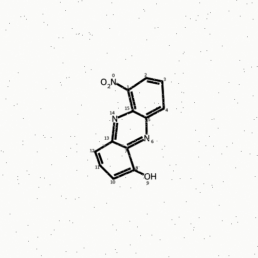 O=[N+]([O-])c1cccc2nc3c(O)cccc3nc12